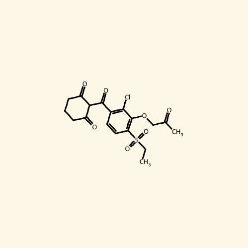 CCS(=O)(=O)c1ccc(C(=O)C2C(=O)CCCC2=O)c(Cl)c1OCC(C)=O